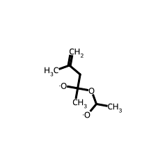 C=C(C)CC(C)([O])OC(C)[O]